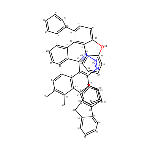 Cc1ccc(-c2c(-c3ccccc3)nnnc2-c2ccccc2-c2c(-c3ccccc3)ccc3oc4ccccc4c23)c(-c2cccc3c2Cc2ccccc2-3)c1C